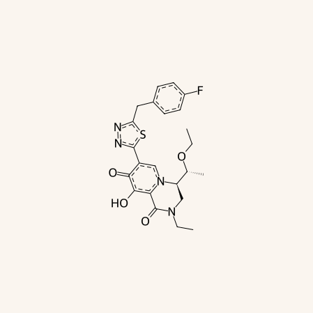 CCO[C@H](C)[C@H]1CN(CC)C(=O)c2c(O)c(=O)c(-c3nnc(Cc4ccc(F)cc4)s3)cn21